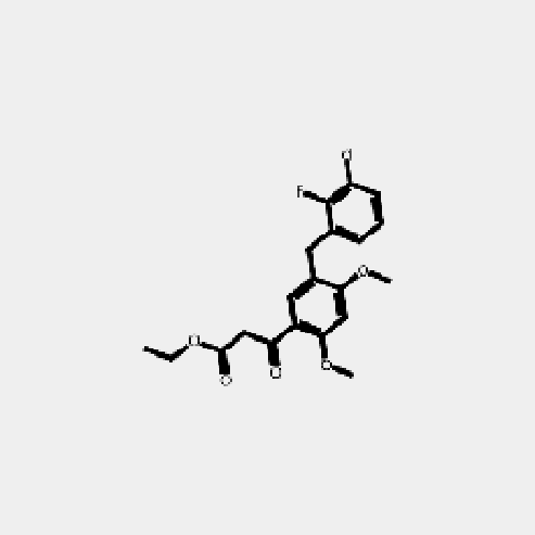 CCOC(=O)CC(=O)c1cc(Cc2cccc(Cl)c2F)c(OC)cc1OC